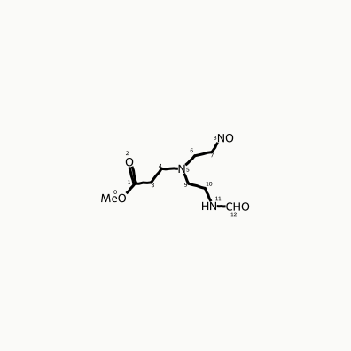 COC(=O)CCN(CCN=O)CCNC=O